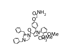 COc1cccc(-n2c(C)cc(C(=O)N3CCN(Cc4ccccc4)C[C@H]3Cc3ccccc3)c2-c2ccc(OCC(N)=O)cc2)c1OC